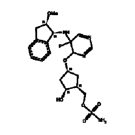 CO[C@H]1Cc2ccccc2[C@H]1NC1(F)C=NC=NC1O[C@@H]1C[C@@H](COS(N)(=O)=O)[C@@H](O)C1